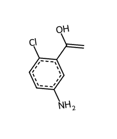 C=C(O)c1cc(N)ccc1Cl